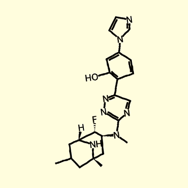 CC1C[C@H]2N[C@@](C)(C1)C[C@H](N(C)c1ncc(-c3ccc(-n4ccnc4)cc3O)nn1)[C@H]2F